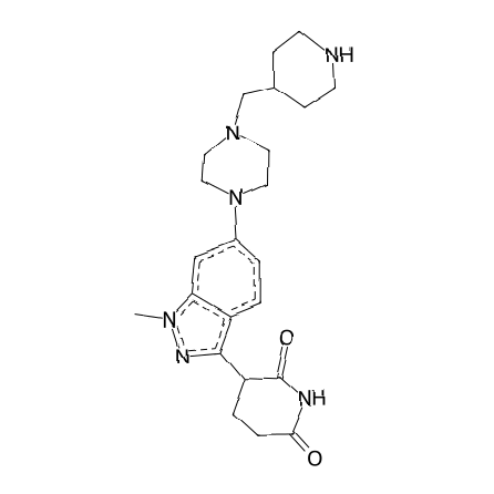 Cn1nc(C2CCC(=O)NC2=O)c2ccc(N3CCN(CC4CCNCC4)CC3)cc21